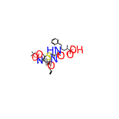 C=CCO[C@H](C[C@H](C(C)C)N(C)C(=O)OC(C)(C)C)c1nc(C(=O)NC(Cc2ccccc2)CC(C)C(=O)O)cs1